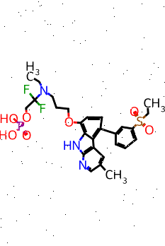 CCN(CCCOc1ccc(-c2cccc(S(=O)(=O)CC)c2)c2c1[nH]c1ncc(C)cc12)C(F)(F)COP(=O)(O)O